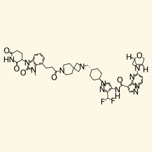 Cn1c(=O)n(C2CCC(=O)NC2=O)c2cccc(CCC(=O)N3CCC4(CC3)CN(C[C@H]3CC[C@H](n5cc(NC(=O)c6cnn7ccc(N8C[C@H]9C[C@@H]8CO9)nc67)c(C(F)F)n5)CC3)C4)c21